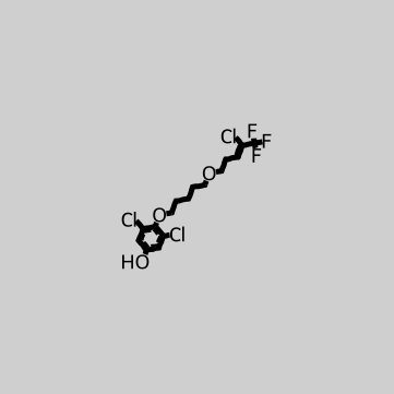 Oc1cc(Cl)c(OCCCCCOCCC=C(Cl)C(F)(F)F)c(Cl)c1